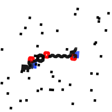 Cc1cc(CCCCCCCOc2ccc(C3=N[C@@H](C(C)C)CO3)cc2)on1